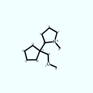 COCC1(C2CCCN2C)CCCC1